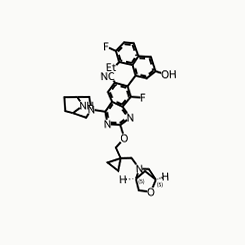 CCc1c(F)ccc2cc(O)cc(-c3c(C#N)cc4c(N5CC6CCC(C5)N6)nc(OCC5(CN6C[C@@H]7C[C@H]6CO7)CC5)nc4c3F)c12